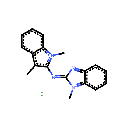 Cc1c(N=C2N=c3ccccc3=[N+]2C)n(C)c2ccccc12.[Cl-]